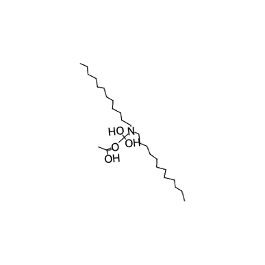 CC(=O)O.CCCCCCCCCCCCN(CCCCCCCCCCCC)C(C)(O)O